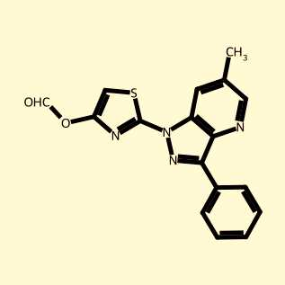 Cc1cnc2c(-c3ccccc3)nn(-c3nc(OC=O)cs3)c2c1